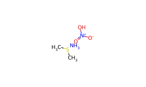 CSC.N.O=[N+]([O-])O